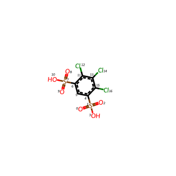 O=S(=O)(O)c1cc(S(=O)(=O)O)c(Cl)c(Cl)c1Cl